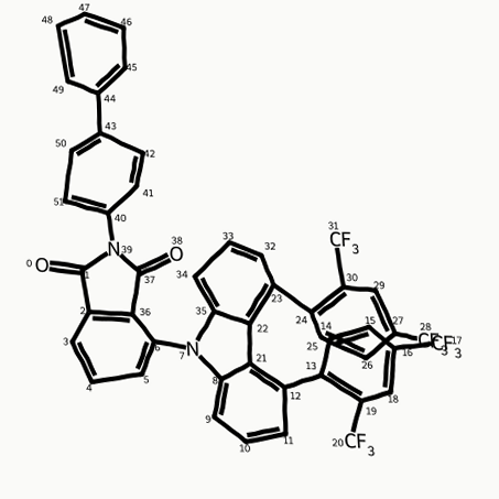 O=C1c2cccc(-n3c4cccc(-c5ccc(C(F)(F)F)cc5C(F)(F)F)c4c4c(-c5ccc(C(F)(F)F)cc5C(F)(F)F)cccc43)c2C(=O)N1c1ccc(-c2ccccc2)cc1